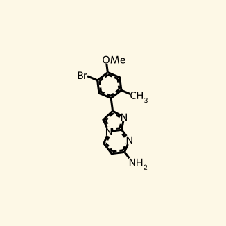 COc1cc(C)c(-c2cn3ccc(N)nc3n2)cc1Br